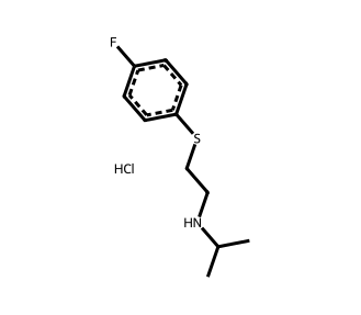 CC(C)NCCSc1ccc(F)cc1.Cl